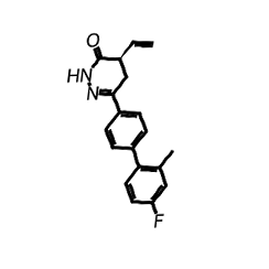 C=C[C@H]1CC(c2ccc(-c3ccc(F)cc3C)cc2)=NNC1=O